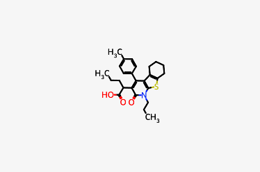 CCCC(C(=O)O)c1c(-c2ccc(C)cc2)c2c3c(sc2n(CCC)c1=O)CCCC3